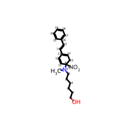 CN(CCCCCCO)C1([N+](=O)[O-])C=CC(C=Cc2ccccc2)=CC1